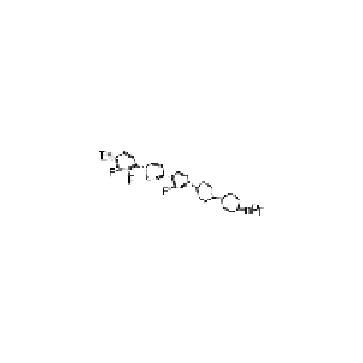 CCCC1CCC(C2CCC(c3ccc(-c4ccc(-c5ccc(CC)c(F)c5F)cc4)c(F)c3)CC2)CC1